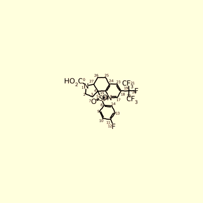 O=C(O)N1CCC2(S(=O)(=O)c3ccc(F)cc3)c3ncc(C(F)(C(F)(F)F)C(F)(F)F)cc3CCC12